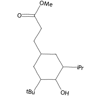 COC(=O)CCC1CC(C(C)C)C(O)C(C(C)(C)C)C1